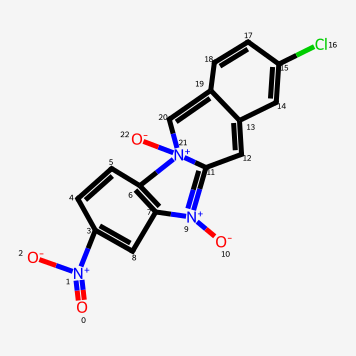 O=[N+]([O-])c1ccc2c(c1)[N+]([O-])=C1C=c3cc(Cl)ccc3=C[N+]12[O-]